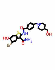 NC(=O)c1c(NC(=O)c2ccc(CN3CCC(CO)CC3)cc2)sc2cc(O)c(Br)cc12